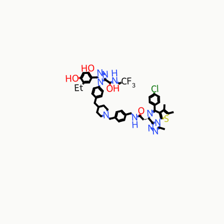 CCc1cc(-c2nnc(C(O)NCC(F)(F)F)n2-c2ccc(CC3CCN(Cc4ccc(CNC(=O)C[C@@H]5N=C(c6ccc(Cl)cc6)c6c(sc(C)c6C)-n6c(C)nnc65)cc4)CC3)cc2)c(O)cc1O